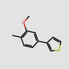 COc1cc(-c2ccsc2)ccc1C